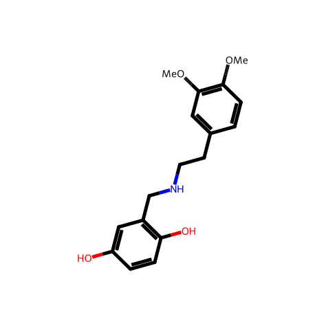 COc1ccc(CCNCc2cc(O)ccc2O)cc1OC